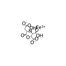 O=C([O-])CC(C(=O)[O-])N(O)C(CC(=O)[O-])C(=O)O.[Fe+3]